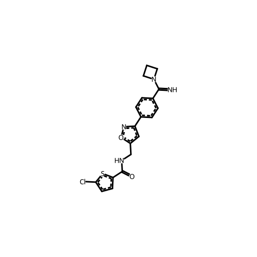 N=C(c1ccc(-c2cc(CNC(=O)c3ccc(Cl)s3)on2)cc1)N1CCC1